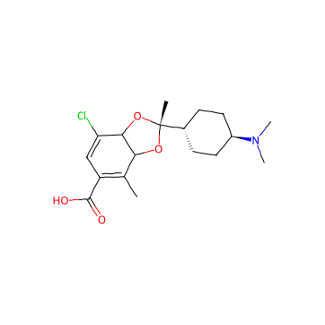 CC1=C(C(=O)O)C=C(Cl)C2O[C@](C)([C@H]3CC[C@H](N(C)C)CC3)OC12